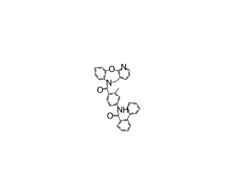 Cc1cc(NC(=O)c2ccccc2-c2ccccc2)ccc1C(=O)N1Cc2cccnc2Oc2ccccc21